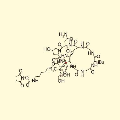 CC[C@H](C)C1NC(=O)CNC(=O)C2Cc3c([nH]c4cc(OCCCCCCNC(=O)ON5C(=O)CCC5=O)ccc34)[S+]([O-])CC(NC(=O)CNC1=O)C(=O)N[C@@H](CC(N)=O)C(=O)N1CC(O)CC1C(=O)NC([C@@H](C)[C@@H](O)CO)C(=O)N2